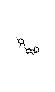 Fc1ccc(CNc2ccc3oc4ccccc4c3c2)c(F)c1